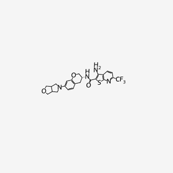 Nc1c(C(=O)N[C@H]2COc3cc(N4CC5COCC5C4)ccc3C2)sc2nc(C(F)(F)F)ccc12